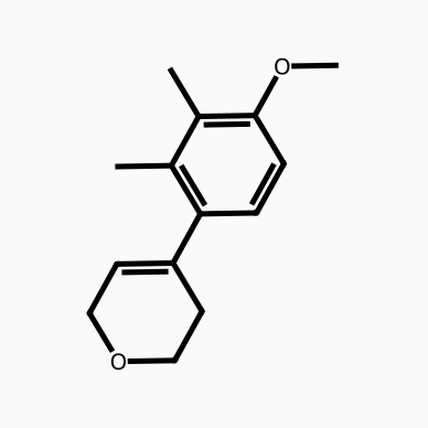 COc1ccc(C2=CCOCC2)c(C)c1C